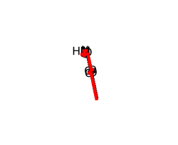 CCCCCCCCCCCCCCCCCCCCCCCCC(C(=O)OC)[C@@H](CCCCCCCCCCCCCCS(=O)(=O)N1N=NN[C@H]1c1ccccc1)OC(C)=O